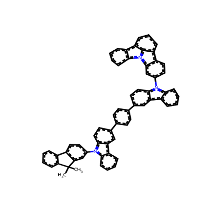 CC1(C)c2ccccc2-c2ccc(-n3c4ccccc4c4cc(-c5ccc(-c6ccc7c(c6)c6ccccc6n7-c6ccc7c8cccc9c%10ccccc%10n(c7c6)c98)cc5)ccc43)cc21